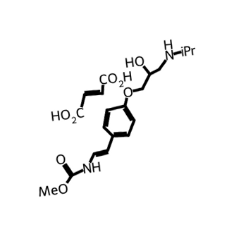 COC(=O)NC=Cc1ccc(OCC(O)CNC(C)C)cc1.O=C(O)C=CC(=O)O